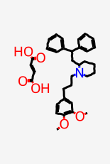 COc1ccc(CCCN2CCCCC2CC(c2ccccc2)c2ccccc2)cc1OC.O=C(O)C=CC(=O)O